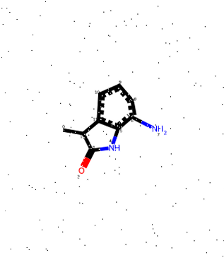 CC1C(=O)Nc2c(N)cccc21